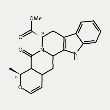 COC(=O)[C@@H]1Cc2c([nH]c3ccccc23)C2CC3C=CO[C@@H](C)C3C(=O)N21